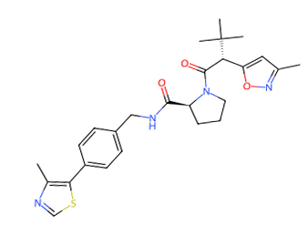 Cc1cc([C@H](C(=O)N2CCC[C@H]2C(=O)NCc2ccc(-c3scnc3C)cc2)C(C)(C)C)on1